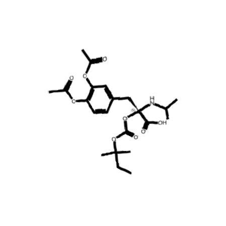 CCC(C)(C)OC(=O)O[C@](Cc1ccc(OC(C)=O)c(OC(C)=O)c1)(NC(C)C)C(=O)O